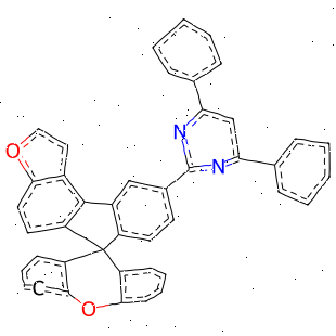 c1ccc(-c2cc(-c3ccccc3)nc(-c3ccc4c(c3)-c3c(ccc5occc35)C43c4ccccc4Oc4ccccc43)n2)cc1